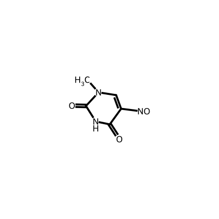 Cn1cc(N=O)c(=O)[nH]c1=O